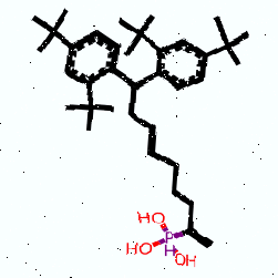 C=C(CCCCCCC(c1ccc(C(C)(C)C)cc1C(C)(C)C)c1ccc(C(C)(C)C)cc1C(C)(C)C)[PH](O)(O)O